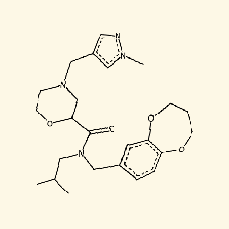 CC(C)CN(Cc1ccc2c(c1)OCCCO2)C(=O)C1CN(Cc2cnn(C)c2)CCO1